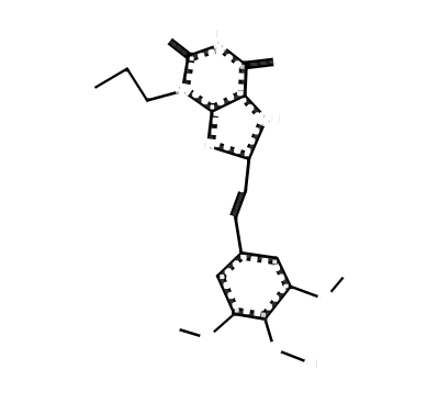 CCCn1c(=O)[nH]c(=O)c2[nH]c(C=Cc3cc(OC)c(OC)c(OC)c3)nc21